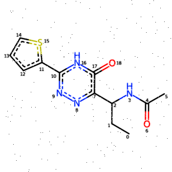 CCC(NC(C)=O)c1nnc(-c2cccs2)[nH]c1=O